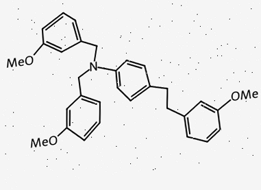 COc1cccc(CCc2ccc(N(Cc3cccc(OC)c3)Cc3cccc(OC)c3)cc2)c1